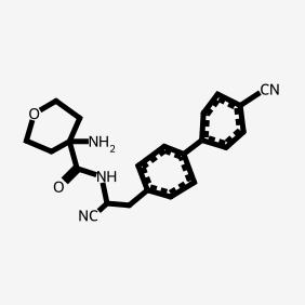 N#Cc1ccc(-c2ccc(CC(C#N)NC(=O)C3(N)CCOCC3)cc2)cc1